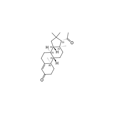 CC(=O)[C@H]1C(C)(C)C[C@H]2[C@@H]3CCC4=CC(=O)CC[C@]4(C)[C@H]3CC[C@@]21C